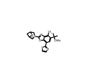 COC(C)(C)c1cc(-c2nccs2)c2oc(N3CC4CC(C3)N4)nc2c1C(F)(F)F